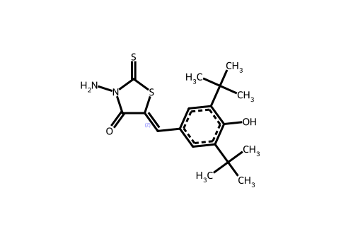 CC(C)(C)c1cc(/C=C2\SC(=S)N(N)C2=O)cc(C(C)(C)C)c1O